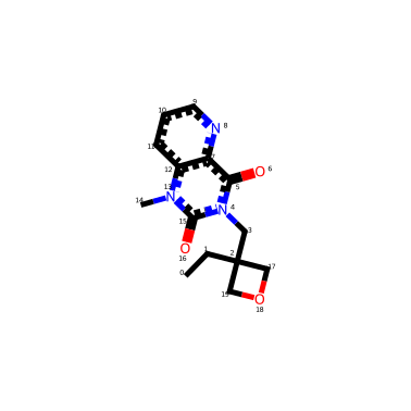 CCC1(Cn2c(=O)c3ncccc3n(C)c2=O)COC1